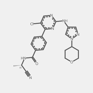 C[C@@H](C#N)NC(=O)c1ccc(-c2nc(Nc3cnn(C4CCOCC4)c3)ncc2Cl)cc1